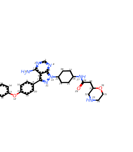 Nc1ncnc2c1c(-c1ccc(Oc3ccccc3)cc1)nn2C1CCC(NC(=O)CC2CNCCO2)CC1